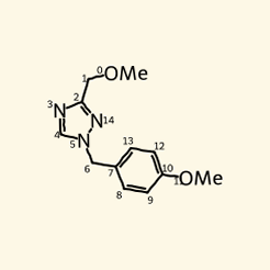 COCc1ncn(Cc2ccc(OC)cc2)n1